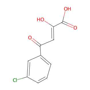 O=C(O)/C(O)=C/C(=O)c1cccc(Cl)c1